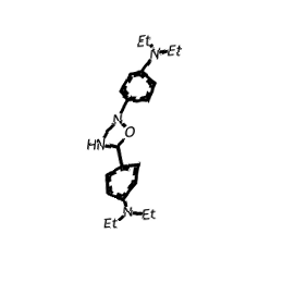 CCN(CC)c1ccc(C2NCN(c3ccc(N(CC)CC)cc3)O2)cc1